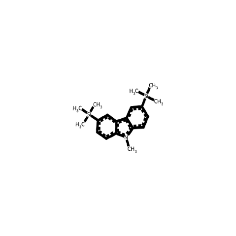 Cn1c2ccc([Si](C)(C)C)cc2c2cc([Si](C)(C)C)ccc21